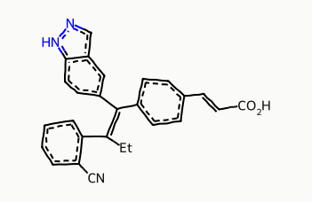 CCC(=C(c1ccc(C=CC(=O)O)cc1)c1ccc2[nH]ncc2c1)c1ccccc1C#N